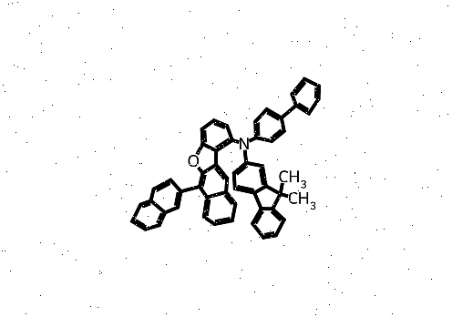 CC1(C)c2ccccc2-c2ccc(N(c3ccc(-c4ccccc4)cc3)c3cccc4oc5c(-c6ccc7ccccc7c6)c6ccccc6cc5c34)cc21